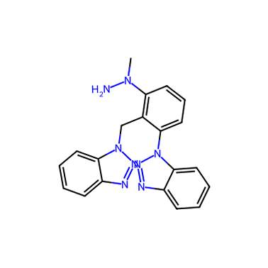 CN(N)c1cccc(-n2nnc3ccccc32)c1Cn1nnc2ccccc21